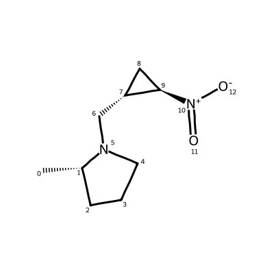 C[C@H]1CCCN1C[C@@H]1C[C@H]1[N+](=O)[O-]